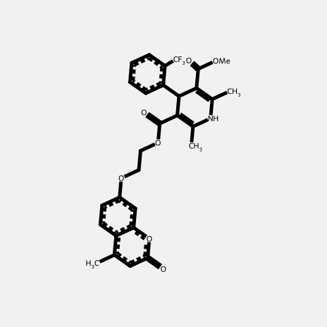 COC(=O)C1=C(C)NC(C)=C(C(=O)OCCOc2ccc3c(C)cc(=O)oc3c2)C1c1ccccc1C(F)(F)F